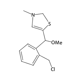 COC(C1=CN(C)CS1)c1ccccc1CCl